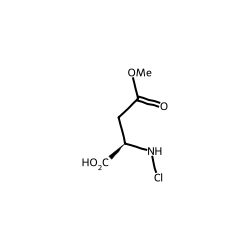 COC(=O)C[C@@H](NCl)C(=O)O